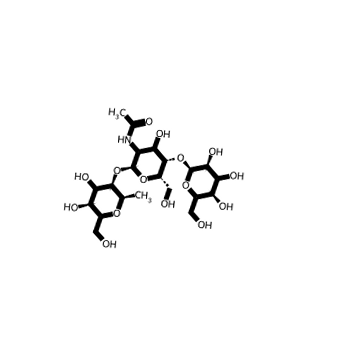 CC(=O)NC1C(O)[C@H](O[C@@H]2OC(CO)[C@H](O)C(O)[C@@H]2O)[C@H](CO)O[C@H]1O[C@@H]1C(O)[C@H](O)C(CO)O[C@@H]1C